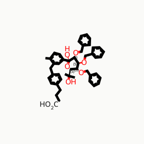 Cc1ccc([C@]2(O)O[C@H](C(C)(C)O)[C@@H](OCc3ccccc3)[C@H](OCc3ccccc3)[C@H]2OCc2ccccc2)cc1Cc1ccc(CCCC(=O)O)cc1